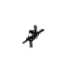 CCCCCCCCOC(CC(CCCC(COC(=O)C1CCN(C)C1)(CC(OCCCCCCCC)OCCCCCCCC)C(=O)O)C(=O)O)OCCCCCCCC